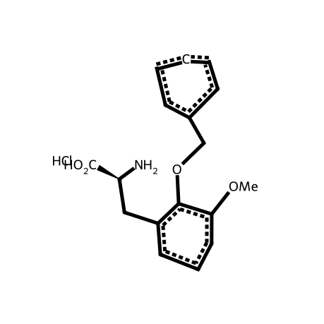 COc1cccc(C[C@H](N)C(=O)O)c1OCc1ccccc1.Cl